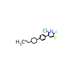 CCCC1CCC(c2ccc(-c3cc(F)c(F)nc3Cl)cc2)CC1